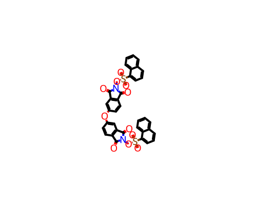 O=C1c2ccc(Oc3ccc4c(c3)C(=O)N(OS(=O)(=O)c3cccc5ccccc35)C4=O)cc2C(=O)N1OS(=O)(=O)c1cccc2ccccc12